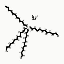 CCCCCCCCCCCC[S-2](CCCCCCCCCCCC)(CCCCCCCCCCCC)CCCCCCCCCCCC.[Na+].[Na+]